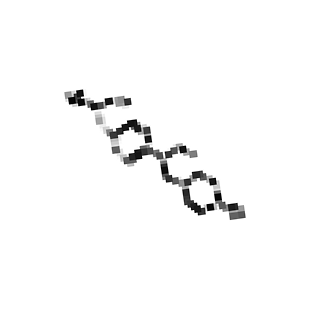 CCC1CCC2CC(c3ccc4cc(C#N)ccc4c3)CCC2C1